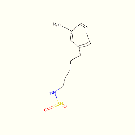 Cc1cccc(CCCCCN[SH](=O)=O)c1